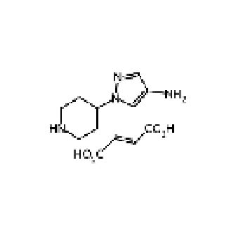 Nc1cnn(C2CCNCC2)c1.O=C(O)/C=C/C(=O)O